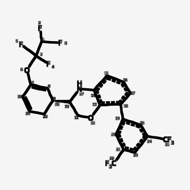 FC(F)C(F)(F)OC1=C[C@@H](C2COc3c(cccc3-c3cc(C(F)(F)F)cc(C(F)(F)F)c3)N2)CC=C1